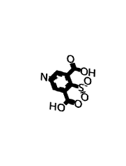 O=C(O)c1cccc(C(=O)O)c1[S-](=O)=O.[Na+]